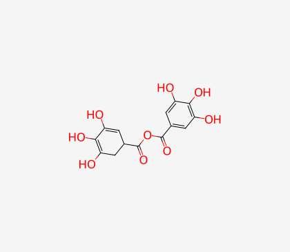 O=C(OC(=O)C1C=C(O)C(O)=C(O)C1)c1cc(O)c(O)c(O)c1